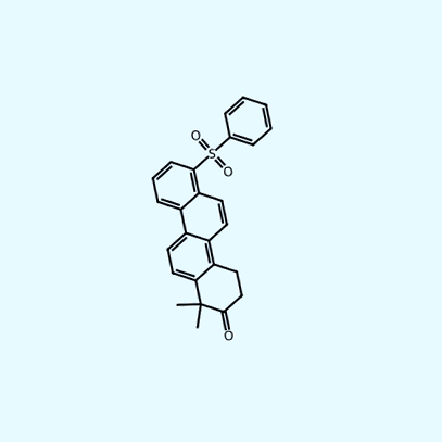 CC1(C)C(=O)CCc2c1ccc1c2ccc2c(S(=O)(=O)c3ccccc3)cccc21